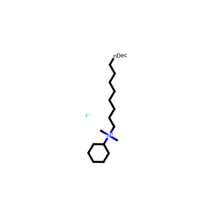 CCCCCCCCCCCCCCCCCC[N+](C)(C)C1CCCCC1.[F-]